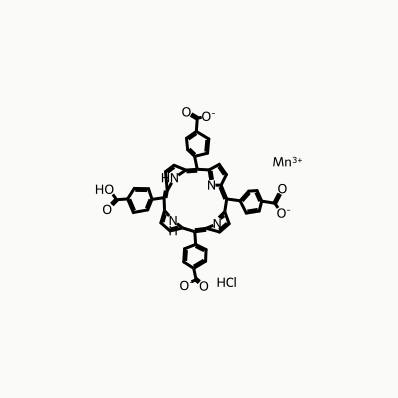 Cl.O=C([O-])c1ccc(-c2c3nc(c(-c4ccc(C(=O)[O-])cc4)c4ccc([nH]4)c(-c4ccc(C(=O)O)cc4)c4ccc([nH]4)c(-c4ccc(C(=O)[O-])cc4)c4nc2C=C4)C=C3)cc1.[Mn+3]